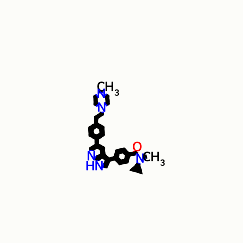 CN1CCN(CCc2ccc(-c3cnc4[nH]cc(-c5ccc(C(=O)N(C)C6CC6)cc5)c4c3)cc2)CC1